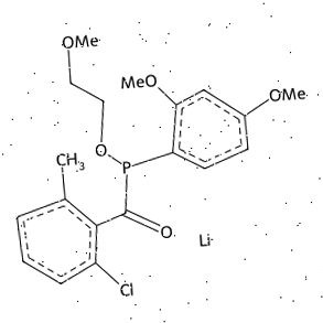 COCCOP(C(=O)c1c(C)cccc1Cl)c1ccc(OC)cc1OC.[Li]